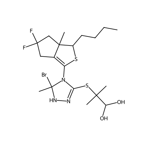 CCCCC1SC(N2C(SC(C)(C)C(O)O)=NNC2(C)Br)=C2CC(F)(F)CC21C